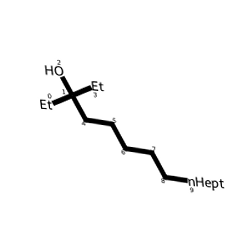 [CH2]CC(O)(CC)CCCCCCCCCCCC